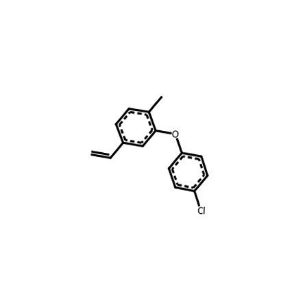 C=Cc1ccc(C)c(Oc2ccc(Cl)cc2)c1